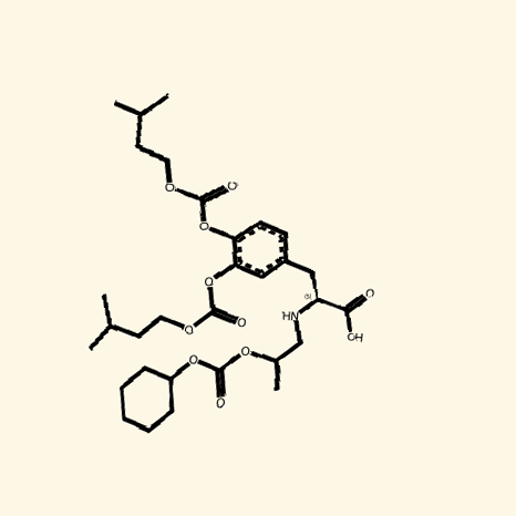 CC(C)CCOC(=O)Oc1ccc(C[C@H](NCC(C)OC(=O)OC2CCCCC2)C(=O)O)cc1OC(=O)OCCC(C)C